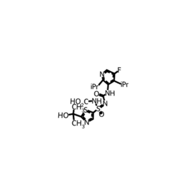 CC(C)c1ncc(F)c(C(C)C)c1NC(=O)N=S(=O)(NC(=O)O)c1cnc(C(C)(C)O)s1